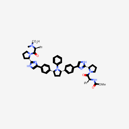 COC(=O)N[C@H](C(=O)N1CCC[C@H]1c1nc(-c2ccc([C@@H]3CC[C@H](c4ccc(-c5c[nH]c([C@@H]6CCCN6C(=O)[C@H](C(C)C)N(C)C(=O)O)n5)cc4)N3c3ccccc3)cc2)c[nH]1)C(C)C